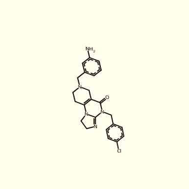 Nc1cccc(CN2CCC3=C(C2)C(=O)N(Cc2ccc(Cl)cc2)C2=NCCN23)c1